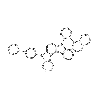 c1ccc(-c2ccc(-n3c4ccccc4c4c5c6ccccc6n(-c6ccccc6-c6cccc7ccccc67)c5ccc43)cc2)cc1